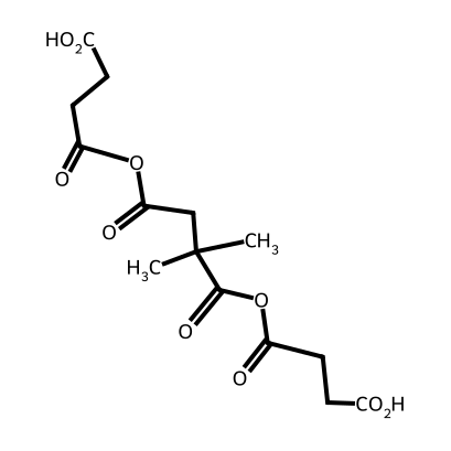 CC(C)(CC(=O)OC(=O)CCC(=O)O)C(=O)OC(=O)CCC(=O)O